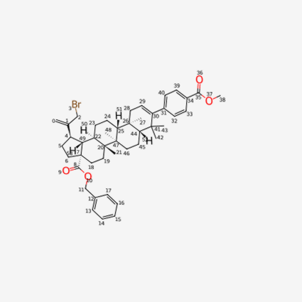 C=C(CBr)[C@@H]1CC[C@]2(C(=O)OCc3ccccc3)CC[C@]3(C)[C@H](CC[C@@H]4[C@@]5(C)CC=C(c6ccc(C(=O)OC)cc6)C(C)(C)[C@@H]5CC[C@]43C)[C@@H]12